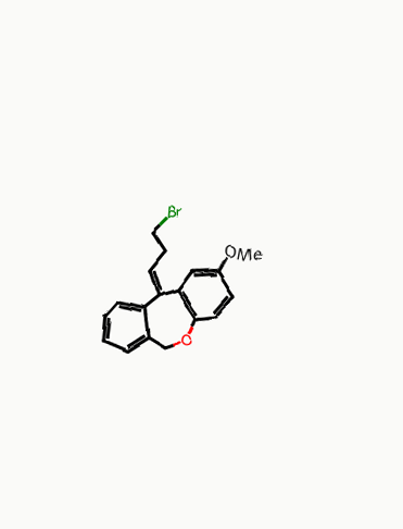 COc1ccc2c(c1)C(=CCCBr)c1ccccc1CO2